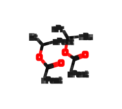 CCCCCC(=O)OC(CC)CCCCC.CCCCCC(=O)OC(CCC)CCCC